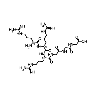 N=C(N)NCCC[C@H](NC(=O)[C@H](CCCNC(=N)N)NC(=O)[C@@H](N)CCCNC(=N)N)C(=O)NCC(=O)NCC(=O)NCC(=O)O